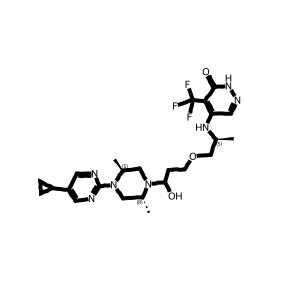 C[C@@H]1CN(c2ncc(C3CC3)cn2)[C@@H](C)CN1C(O)CCOC[C@H](C)Nc1cn[nH]c(=O)c1C(F)(F)F